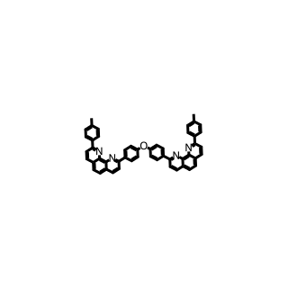 Cc1ccc(-c2ccc3ccc4ccc(-c5ccc(Oc6ccc(-c7ccc8ccc9ccc(-c%10ccc(C)cc%10)nc9c8n7)cc6)cc5)nc4c3n2)cc1